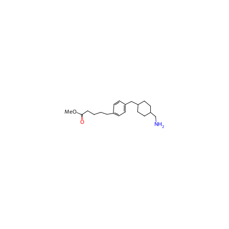 COC(=O)CCCCc1ccc(CC2CCC(CN)CC2)cc1